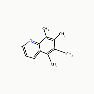 Cc1c(C)c(C)c2n[c]ccc2c1C